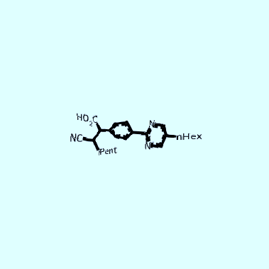 CCCCCCc1cnc(-c2ccc(C(C(=O)O)C(C#N)C(C)CCC)cc2)nc1